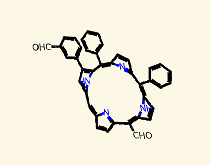 O=Cc1cccc(-c2cc3cc4nc(c(C=O)c5ccc([nH]5)c(-c5ccccc5)c5nc(c(-c6ccccc6)c2[nH]3)C=C5)C=C4)c1